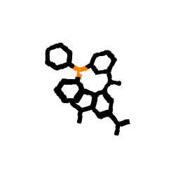 CC(C)c1cc(C(C)C)c2c(c1)C(C)C1CCCC(C1)P(C1CCCCC1)c1ccccc1-2